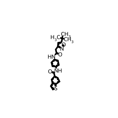 CC(C)(C)c1cc(CC(=O)Nc2ccc(NC(=O)c3ccc4sccc4c3)cc2)no1